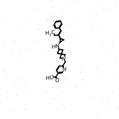 CC/C(=C\c1ccccc1)C1CC1NC1CC2(C1)CN(Cc1ccc(C(=O)O)cn1)C2